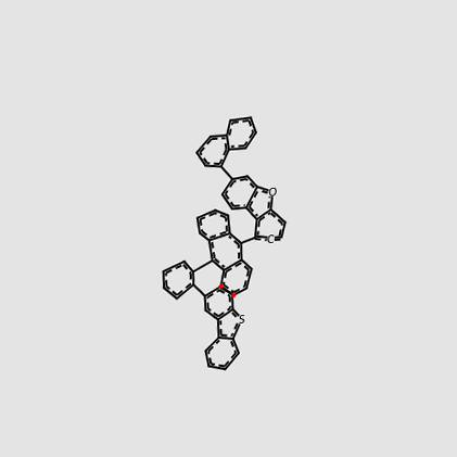 c1ccc(-c2c3ccccc3c(-c3cccc4oc5cc(-c6cccc7ccccc67)ccc5c34)c3ccccc23)c(-c2ccc3sc4ccccc4c3c2)c1